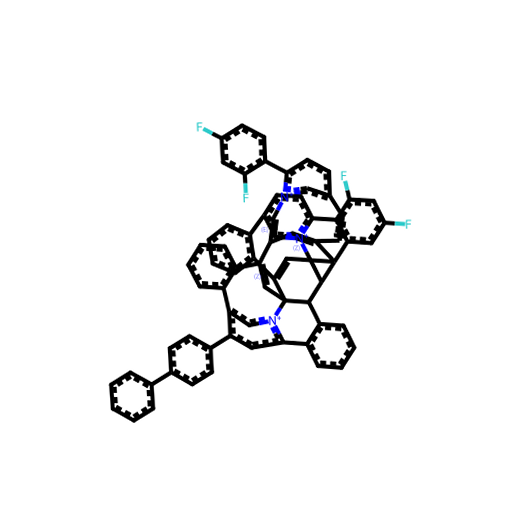 Fc1ccc(-c2ccc3c[n+]2/C=C2\C=C(\c4ccccc4-3)C34c5cc(F)cc(F)c5-c5ccc6c[n+]5C35C=C(c3ccccc3-6)C36/C=C\2c2ccccc2-c2c[n+]3c(cc2-c2ccc(-c3ccccc3)cc2)-c2ccccc2C6C45)c(F)c1